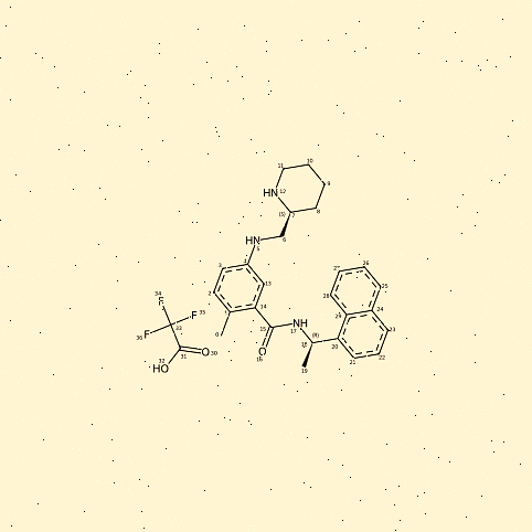 Cc1ccc(NC[C@@H]2CCCCN2)cc1C(=O)N[C@H](C)c1cccc2ccccc12.O=C(O)C(F)(F)F